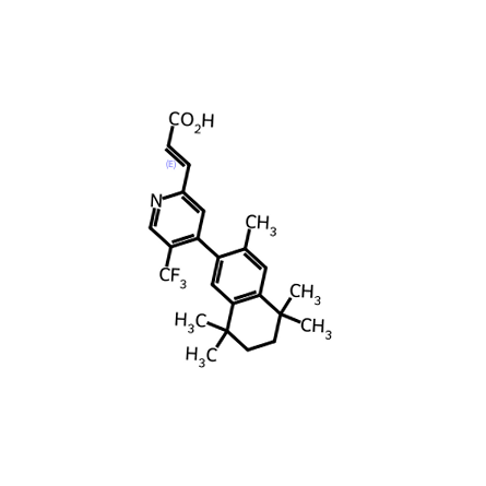 Cc1cc2c(cc1-c1cc(/C=C/C(=O)O)ncc1C(F)(F)F)C(C)(C)CCC2(C)C